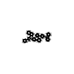 c1ccc(-c2cc(-c3cccc4ccccc34)n(-c3ccc(-c4ccccc4-c4ccccc4-c4ccc(-n5c6ccccc6c6ccccc65)cc4)cc3)n2)cc1